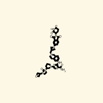 NC(=O)c1ncc(N2CCCC(N3CCN(C4COC4)C3=O)C2)nc1Nc1ccc2c(c1)CCN(CC1CN(c3ccc4c(c3)C(=O)N(C3CCC(=O)NC3=O)C4=O)C1)C2